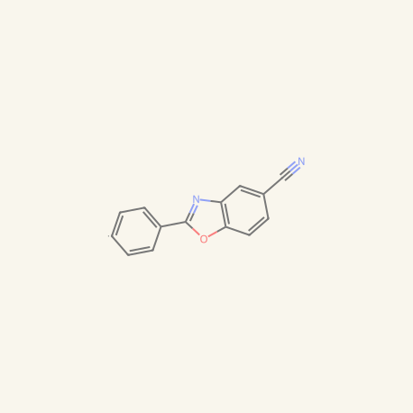 N#Cc1ccc2oc(-c3cc[c]cc3)nc2c1